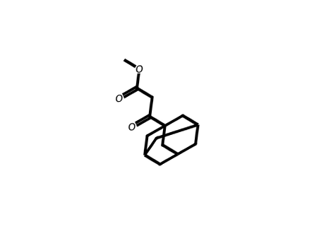 COC(=O)CC(=O)C12CC3CC(CC(C3)C1)C2